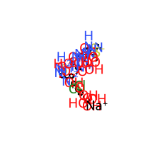 CC(C)S(=O)(=O)n1c(N)nc2ccc(/C(=N/O)c3ccccc3)cc21.CCN(CC)C(=S)[S-].CCc1cn([C@H]2C[C@H](O)[C@@H](CO)O2)c(=O)[nH]c1=O.Clc1ccccc1C1(Cl)CCc2ccccc2O1.Nc1ncc2ncn(COCCO)c2n1.O=c1[nH]cnc2c1ncn2[C@H]1CC[C@@H](CO)O1.OC[C@H]1OC(O)C[C@@H](O)[C@@H]1O.[Na+]